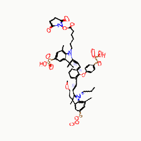 CCC[N+]1=C(/C=C/C2=C(Oc3ccc(S(=O)(=O)O)cc3)C(=C/C=C3/N(CCCCCC(=O)ON4C(=O)CCC4=O)c4c(C)cc(S(=O)(=O)O)cc4C3(C)C)/CCC2)C(C)(CCOC)c2cc(SOO[O-])cc(C)c21